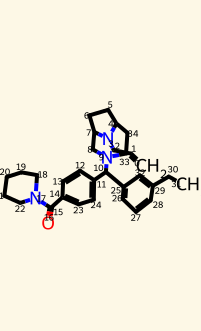 C=CCN1C2CCC1CN(C(c1ccc(C(=O)N3CCCCC3)cc1)c1cccc(CC)c1)CC2